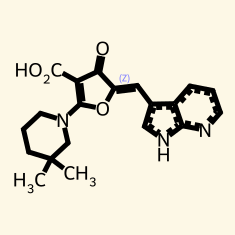 CC1(C)CCCN(C2=C(C(=O)O)C(=O)/C(=C/c3c[nH]c4ncccc34)O2)C1